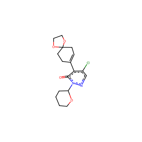 O=c1c(C2=CCC3(CC2)OCCO3)c(Cl)cnn1C1CCCCO1